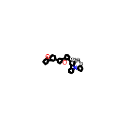 C=C(/C=c1\c(=C/C)n(-c2ccccc2)c2ccccc12)c1cccc2c1oc1ccc(-c3ccc4oc5ccccc5c4c3)cc12